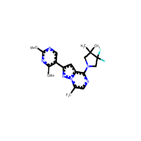 COc1ncc(-c2cc3c(N4CC(C)(C)C(F)(F)C4)ncc(C(F)(F)F)n3n2)c(OC)n1